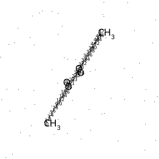 CCCCCCCCCCCCCCCCCCOC(=O)CCCCCCC(=O)OCCCCCCCCCCCCCCCCCC